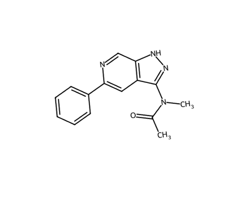 CC(=O)N(C)c1n[nH]c2cnc(-c3ccccc3)cc12